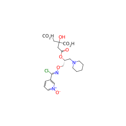 O=C(O)CC(O)(CC(=O)O[C@@H](CON=C(Cl)c1ccc[n+]([O-])c1)CN1CCCCC1)C(=O)O